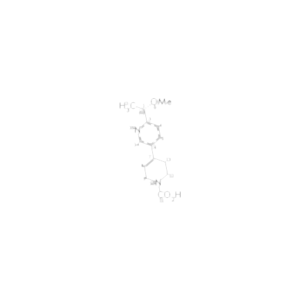 CO[C@@H](C)c1ccc(C2=CCN(C(=O)O)CC2)cn1